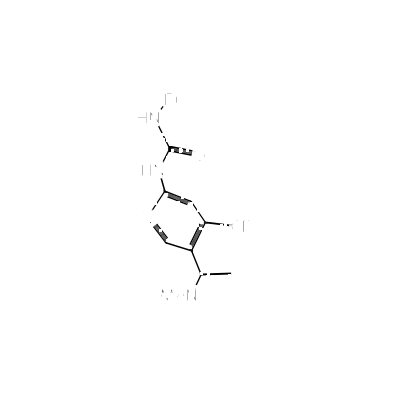 CCNC(=O)Nc1cc(C(F)(F)F)c(C(C)NC)cn1